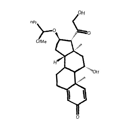 CCCC(OC)O[C@@H]1C[C@H]2C3CCC4=CC(=O)C=C[C@]4(C)C3[C@@H](O)C[C@]2(C)[C@H]1C(=O)CO